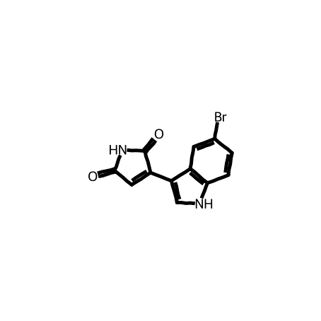 O=C1C=C(c2c[nH]c3ccc(Br)cc23)C(=O)N1